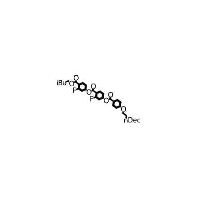 CCCCCCCCCCCCOc1ccc(C(=O)Oc2ccc(C(=O)Oc3ccc(C(=O)OCC(C)CC)c(F)c3)c(F)c2)cc1